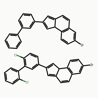 Clc1ccccc1-c1cc(C2=CC3C(=C2)C=Cc2c[c]([Zr])ccc23)ccc1Cl.[Zr][c]1ccc2c(c1)C=CC1=CC(c3cccc(-c4ccccc4)c3)=CC12